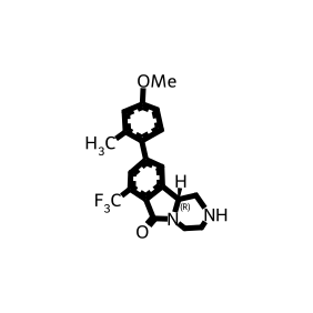 COc1ccc(-c2cc3c(c(C(F)(F)F)c2)C(=O)N2CCNC[C@@H]32)c(C)c1